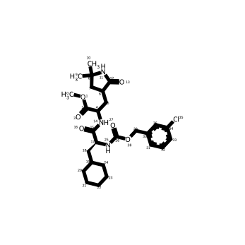 COC(=O)C(CC1CC(C)(C)NC1=O)NC(=O)[C@H](CC1CCCCC1)NC(=O)OCc1cccc(Cl)c1